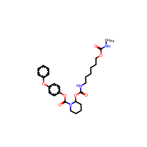 CCCCCCNC(=O)OCCCCCCNC(=O)OC1CCCCN1C(=O)Oc1ccc(Oc2ccccc2)cc1